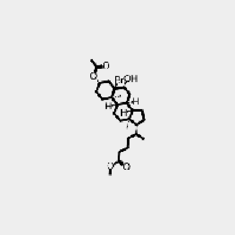 COC(=O)CCCC(C)[C@H]1CC[C@H]2[C@@H]3C[C@@H](O)[C@@]4(Br)C[C@@H](OC(C)=O)CC[C@]4(C)[C@H]3CC[C@]12C